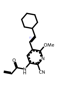 C=CC(=O)Nc1cc(/C=C/C2CCCCC2)c(OC)nc1C#N